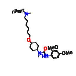 CCCCCN(C)CCCCCCOC1CCC(N(C)C(=O)Nc2ccc(OC)cc2OC)CC1